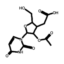 CC(=O)OC1C(CC(=O)O)C(CO)OC1n1ccc(=O)[nH]c1=O